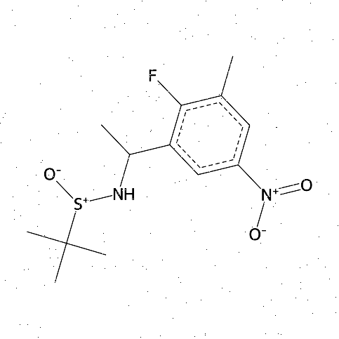 Cc1cc([N+](=O)[O-])cc(C(C)N[S+]([O-])C(C)(C)C)c1F